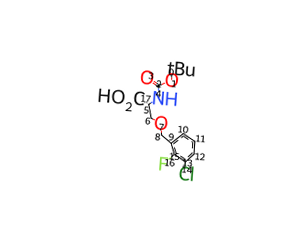 CC(C)(C)OC(=O)N[C@H](COCc1cccc(Cl)c1F)C(=O)O